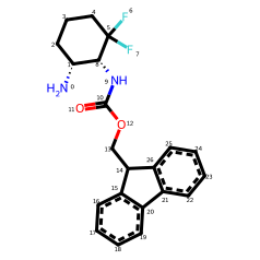 N[C@@H]1CCCC(F)(F)[C@@H]1NC(=O)OCC1c2ccccc2-c2ccccc21